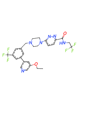 CCOc1cncc(-c2cc(CN3CCN(c4ccc(C(=O)NCC(F)(F)F)nn4)CC3)cc(C(F)(F)F)c2)c1